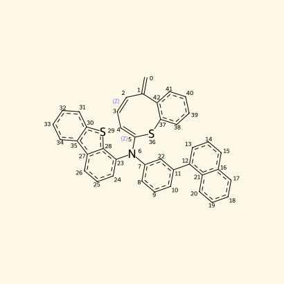 C=C1/C=C\C=C(\N(c2cccc(-c3cccc4ccccc34)c2)c2cccc3c2sc2ccccc23)Sc2ccccc21